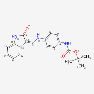 CC(C)(C)OC(=O)Nc1ccc(NC=C2C(=O)Nc3ccccc32)cc1